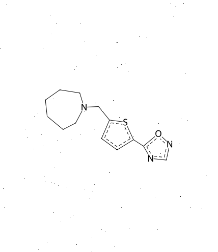 c1noc(-c2ccc(CN3CCCCCC3)s2)n1